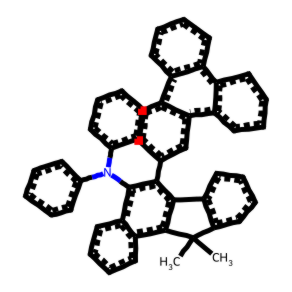 CC1(C)c2ccccc2-c2c(-c3ccc4c5ccccc5c5ccccc5c4c3)c(N(c3ccccc3)c3ccccc3)c3ccccc3c21